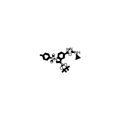 Cc1ccc(S(=O)(=O)n2cc(B3OC(C)(C)C(C)(C)O3)c3cc(-c4nnc(NC5CC5)o4)ccc32)cc1